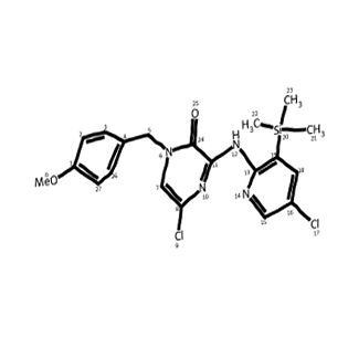 COc1ccc(Cn2cc(Cl)nc(Nc3ncc(Cl)cc3[Si](C)(C)C)c2=O)cc1